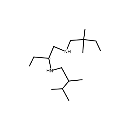 CC[C](CNCC(C)(C)CC)NCC(C)C(C)C